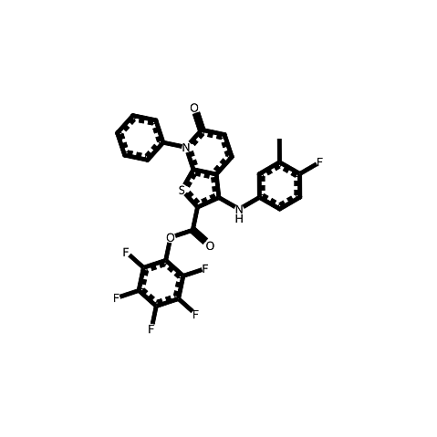 Cc1cc(Nc2c(C(=O)Oc3c(F)c(F)c(F)c(F)c3F)sc3c2ccc(=O)n3-c2ccccc2)ccc1F